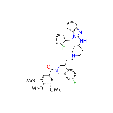 COc1cc(C(=O)N(C)CC(CCN2CCC(Nc3nc4ccccc4n3Cc3ccccc3F)CC2)c2ccc(F)cc2)cc(OC)c1OC